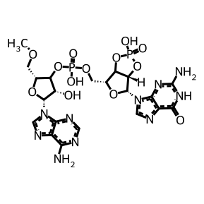 COC[C@H]1O[C@@H](n2cnc3c(N)ncnc32)[C@@H](O)C1OP(=O)(O)OC[C@H]1O[C@@H](n2cnc3c(=O)[nH]c(N)nc32)[C@H]2OP(=O)(O)OC12